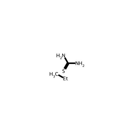 CCC.NC(N)=S